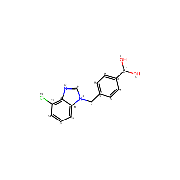 OB(O)c1ccc(Cn2cnc3c(Cl)cccc32)cc1